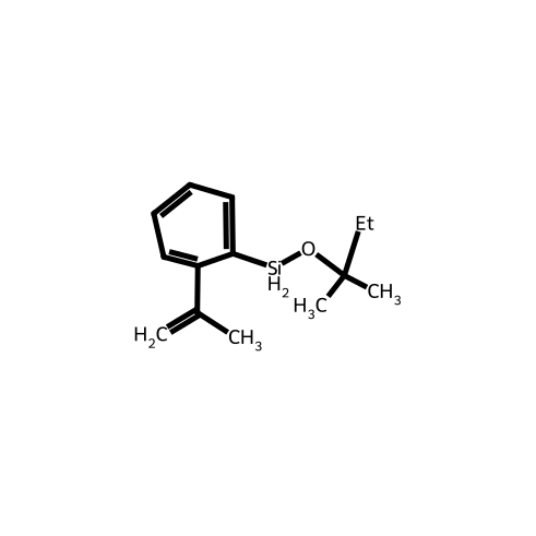 C=C(C)c1ccccc1[SiH2]OC(C)(C)CC